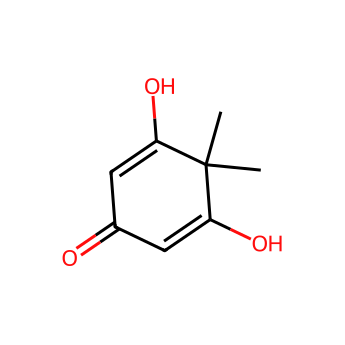 CC1(C)C(O)=CC(=O)C=C1O